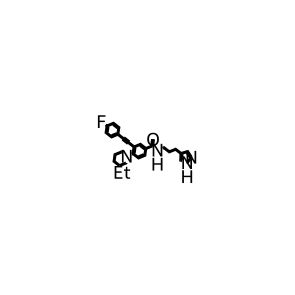 CCC1CCCN(c2ccc(C(=O)NCCCc3cn[nH]c3)cc2C#Cc2ccc(F)cc2)C1